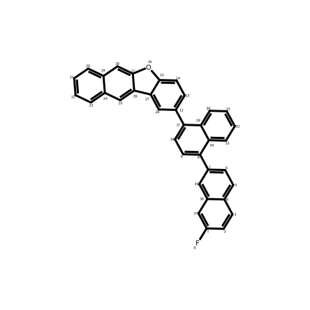 Fc1ccc2ccc(-c3ccc(-c4ccc5oc6cc7ccccc7cc6c5c4)c4ccccc34)cc2c1